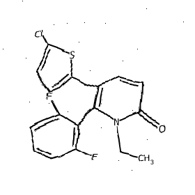 CCn1c(-c2c(F)cccc2F)c(-c2ccc(Cl)s2)ccc1=O